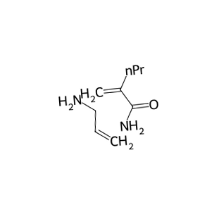 C=C(CCC)C(N)=O.C=CCN